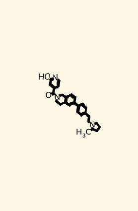 CC1CCCN1CCc1ccc(-c2ccc3c(c2)CCN(C(=O)c2ccnc(O)c2)C3)cc1